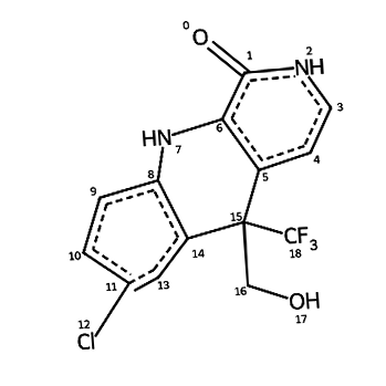 O=c1[nH]ccc2c1Nc1ccc(Cl)cc1C2(CO)C(F)(F)F